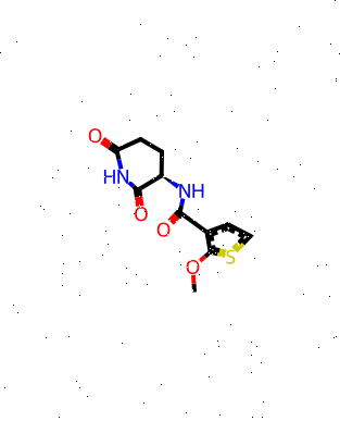 COc1sccc1C(=O)N[C@@H]1CCC(=O)NC1=O